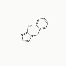 CC(C)c1nccn1Cc1ccccc1